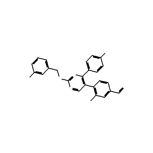 Fc1cccc(COc2ncc(-c3ccc(C=S)cc3Cl)c(-c3ccc(Cl)cc3)n2)c1